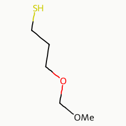 COCOCCCS